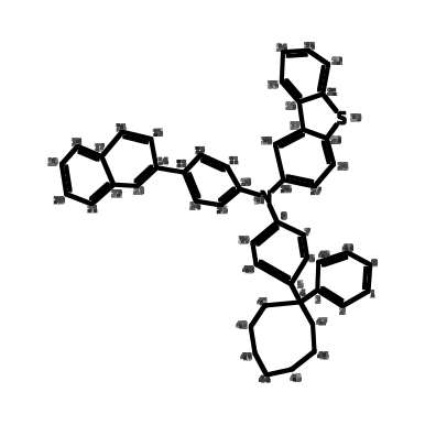 c1ccc(C2(c3ccc(N(c4ccc(-c5ccc6ccccc6c5)cc4)c4ccc5sc6ccccc6c5c4)cc3)CCCCCCC2)cc1